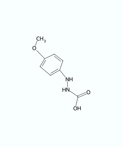 COc1ccc(NNC(=O)O)cc1